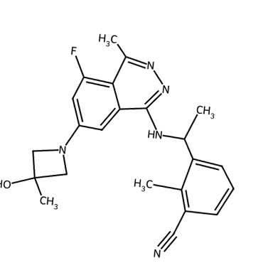 Cc1c(C#N)cccc1C(C)Nc1nnc(C)c2c(F)cc(N3CC(C)(O)C3)cc12